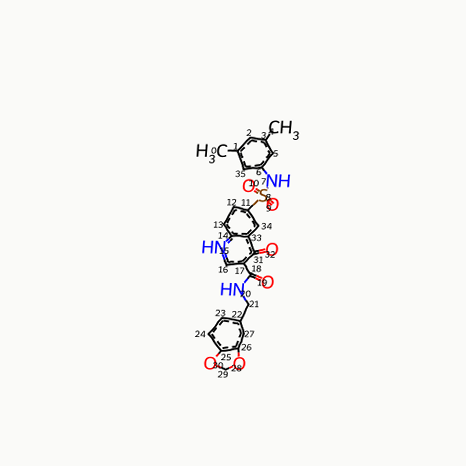 Cc1cc(C)cc(NS(=O)(=O)c2ccc3[nH]cc(C(=O)NCc4ccc5c(c4)OCO5)c(=O)c3c2)c1